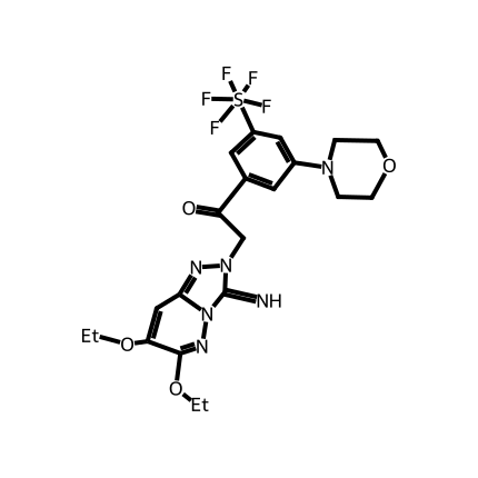 CCOc1cc2nn(CC(=O)c3cc(N4CCOCC4)cc(S(F)(F)(F)(F)F)c3)c(=N)n2nc1OCC